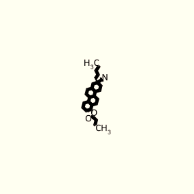 CCCCC[C@@]1(C#N)CCC2C(CCC3C2CCC2C3CCC[C@H]2OC(=O)CCC)C1